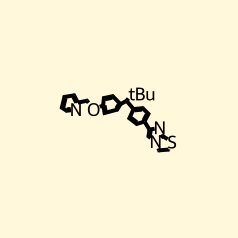 CC(C)(C)C(c1ccc(OCc2ccccn2)cc1)c1ccc(-c2cn3c(n2)SCC3)cc1